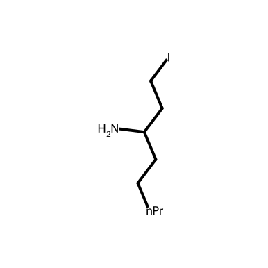 CCCCCC(N)CCI